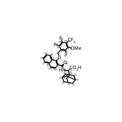 COc1c(F)c(COc2c(C(=O)NC(C(=O)O)C34CC5CC(CC(C5)C3)C4)ccc3ccccc23)c(F)c(F)c1C(F)(F)F